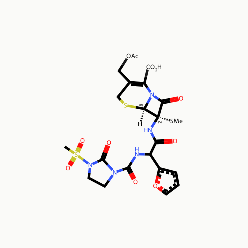 CS[C@@]1(NC(=O)C(NC(=O)N2CCN(S(C)(=O)=O)C2=O)c2ccco2)C(=O)N2C(C(=O)O)=C(COC(C)=O)CS[C@@H]21